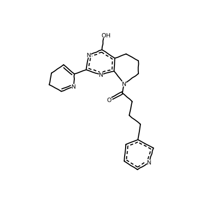 O=C(CCCc1cccnc1)N1CCCc2c(O)nc(C3=CCCC=N3)nc21